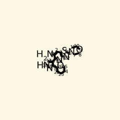 Nc1cc2sc(N3CCOCC3)nc2nc1-c1c[nH]nc1C1CCCCO1